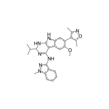 COc1cc2c3c([nH]c2cc1-c1c(C)noc1C)NC(C(C)C)N=C3Nc1nn(C)c2ccccc12